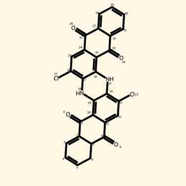 O=C1C2=CC=CCC2C(=O)c2cc(Cl)c3[nH]c4c([nH]c3c21)c(Cl)cc1c(=O)c2ccccc2c(=O)c14